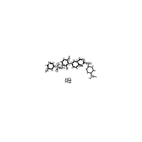 CN(C)[C@H]1CC[C@@H](Nc2ncc3cc(-c4c(F)ccc(NS(=O)(=O)c5cncc(F)c5)c4F)ccc3n2)CC1.Cl.Cl